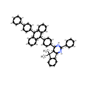 CC1(C)c2ccccc2-c2nc(-c3ccccc3)nc(-c3ccc(-c4c5ccccc5c(-c5ccc(-c6ccccc6)cc5)c5ccccc45)cc3)c21